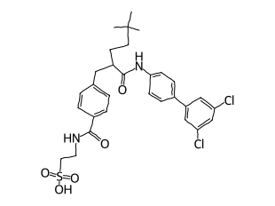 CC(C)(C)CCC(Cc1ccc(C(=O)NCCS(=O)(=O)O)cc1)C(=O)Nc1ccc(-c2cc(Cl)cc(Cl)c2)cc1